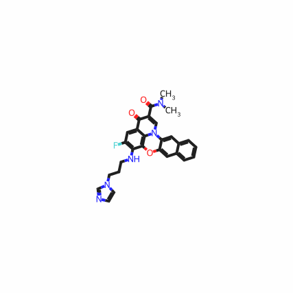 CN(C)C(=O)c1cn2c3c(c(NCCCn4ccnc4)c(F)cc3c1=O)Oc1cc3ccccc3cc1-2